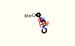 COc1cccc(-c2nc(CS(=O)(=O)CC(=O)N3CCCCCC3)c(C)o2)c1